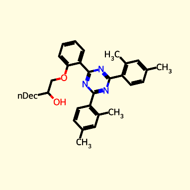 CCCCCCCCCCC(O)COc1ccccc1-c1nc(-c2ccc(C)cc2C)nc(-c2ccc(C)cc2C)n1